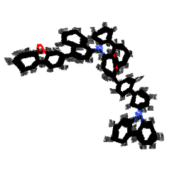 c1ccc(-c2ccccc2N(c2ccc(-c3ccc(-c4cccc(-n5c6ccccc6c6ccccc65)c4)cc3)cc2)c2ccc(-c3ccc4c(c3)oc3ccccc34)c3ccccc23)cc1